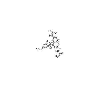 CCn1cc(S(=O)(=O)N2CC(CNC(C)=O)Oc3ccc(NC(=O)O)cc32)c(Cl)n1